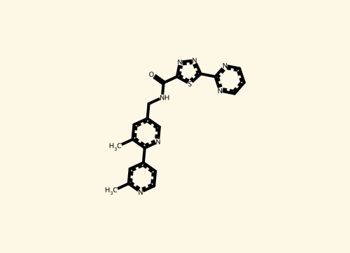 Cc1cc(-c2ncc(CNC(=O)c3nnc(-c4ncccn4)s3)cc2C)ccn1